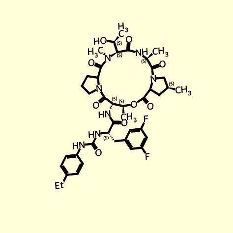 CCc1ccc(NC(=O)N[C@@H](Cc2cc(F)cc(F)c2)C(=O)N[C@@H]2C(=O)N3CCCC3C(=O)N(C)[C@@H]([C@H](C)O)C(=O)N[C@@H](C)C(=O)N3C[C@@H](C)CC3C(=O)O[C@H]2C)cc1